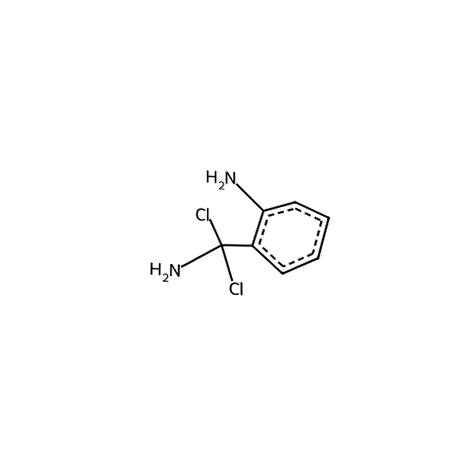 Nc1ccccc1C(N)(Cl)Cl